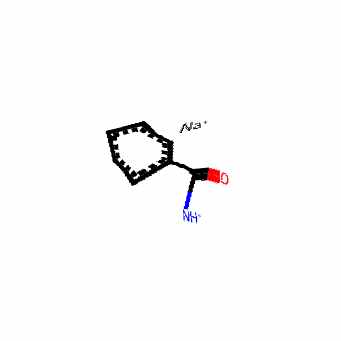 [NH-]C(=O)c1ccccc1.[Na+]